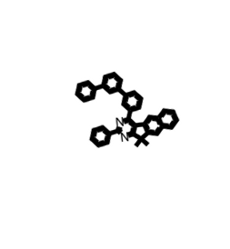 CC1(C)c2cc3ccccc3cc2-c2c(-c3cccc(-c4cccc(-c5ccccc5)c4)c3)nc(-c3ccccc3)nc21